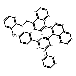 Nc1ccccc1OCc1ccc(-c2ccc3ccccc3c2-c2nc(-c3ccccc3)nc(-c3ccccc3)n2)c2ccccc12